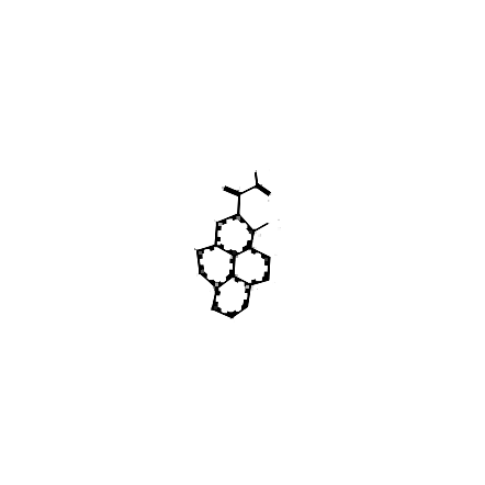 C=C(C)C(=O)c1cc2ccc3cccc4ccc(c1O)c2c34